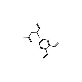 C=CC(C)CC(=C)C.C=Cc1ccccc1C=C